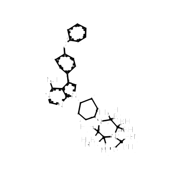 BC(B)(B)N1C(B)(B)C(B)(B)N([C@H]2CC[C@@H](n3cc(-c4ccc(Oc5ccccc5)cc4)c4c(N)ncnc43)CC2)C(B)(B)C1(B)B